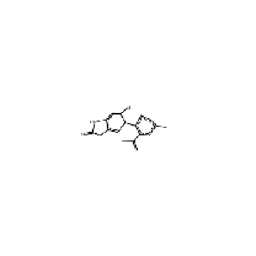 C=C(C)c1cc(C)ccc1C1C=C2CC(=O)NC2=CC1CC